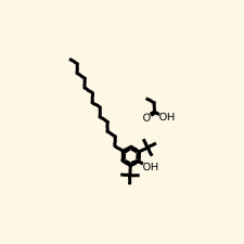 CCC(=O)O.CCCCCCCCCCCCCc1cc(C(C)(C)C)c(O)c(C(C)(C)C)c1